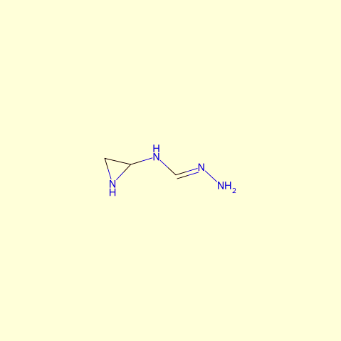 NN=CNC1CN1